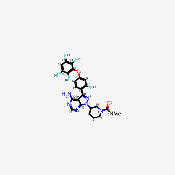 CNC(=O)N1CCCC(n2nc(-c3ccc(Oc4c(F)c(F)cc(F)c4F)cc3F)c3c(N)ncnc32)C1